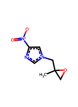 CC1(Cn2cnc([N+](=O)[O-])c2)CO1